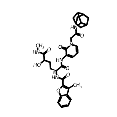 CNC(=O)C(O)CC[C@H](NC(=O)c1oc2ccccc2c1C)C(=O)Nc1cccn(CC(=O)NC2C3CC4CC(C3)C2C4)c1=O